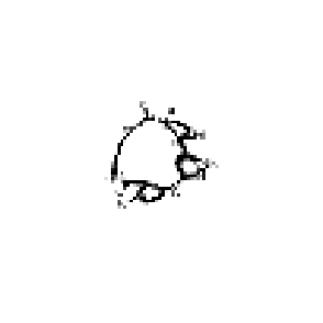 O=C1NCCCNC(=O)c2nc(ccc2C(F)(F)F)Nc2cc([nH]n2)[C@H]2CC[C@H](C2)O1